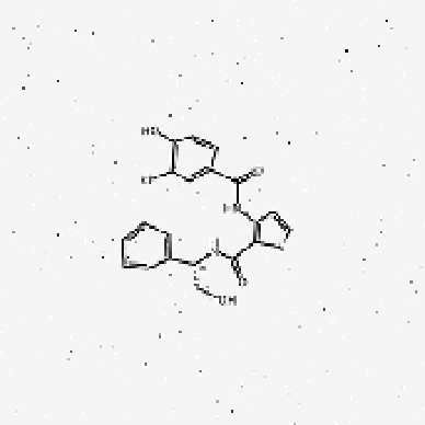 O=C(Nc1ccsc1C(=O)N[C@H](CO)c1ccccc1)c1ccc(O)c(Cl)c1